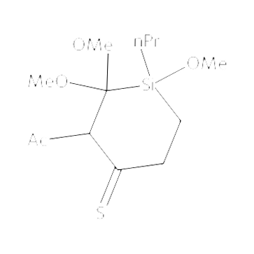 CCC[Si]1(OC)CCC(=S)C(C(C)=O)C1(OC)OC